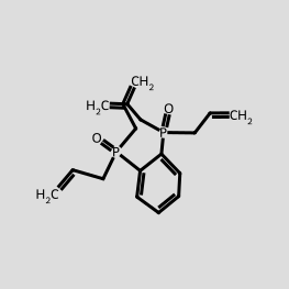 C=CCP(=O)(CC=C)c1ccccc1P(=O)(CC=C)CC=C